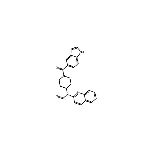 O=CN(c1ccc2ccccc2n1)C1CCN(C(=O)c2ccc3[nH]ccc3c2)CC1